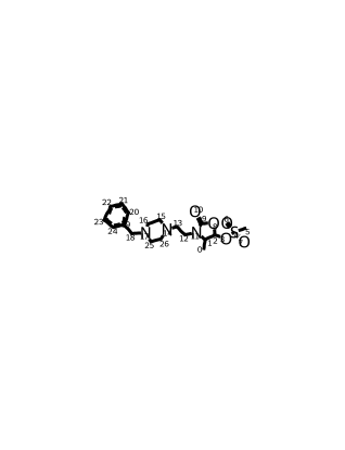 CC1C(OS(C)(=O)=O)OC(=O)N1CCN1CCN(Cc2ccccc2)CC1